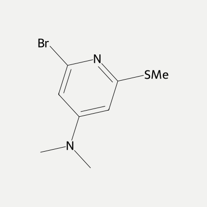 CSc1cc(N(C)C)cc(Br)n1